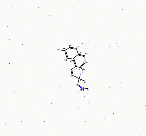 C/N=C\C(C)(I)/C=C\c1c(C)ccc2ccc(C)cc12